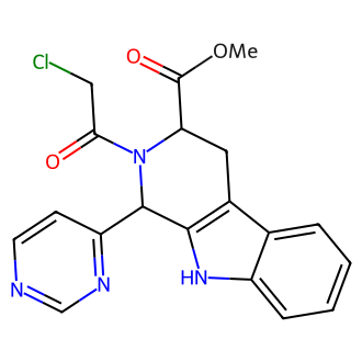 COC(=O)C1Cc2c([nH]c3ccccc23)C(c2ccncn2)N1C(=O)CCl